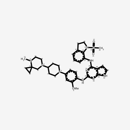 COc1cc(N2CCC(N3CCN(C)C4(CC4)C3)CC2)ccc1Nc1nc(Nc2cccc3c2N(S(C)(=O)=O)CC3)c2cc[nH]c2n1